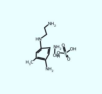 Cc1cc(NCCN)ccc1N.NO.O=S(=O)(O)O